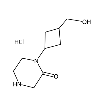 Cl.O=C1CNCCN1C1CC(CO)C1